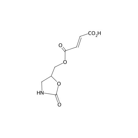 O=C(O)/C=C/C(=O)OCC1CNC(=O)O1